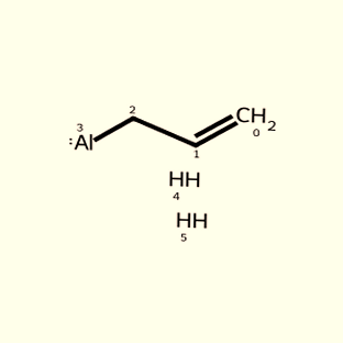 C=C[CH2][Al].[HH].[HH]